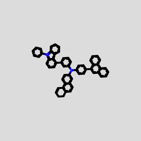 C1=Cc2c(ccc3cc(N(c4ccc(-c5cc6ccccc6c6ccccc56)cc4)c4cccc(-c5cccc6c5c5ccccc5n6-c5ccccc5)c4)ccc23)CC1